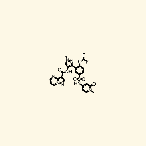 Cn1cc(NC(=O)c2cnn3cccnc23)c(-c2cc(S(=O)(=O)Nc3ccn(C)c(=O)c3)ccc2OC(F)F)n1